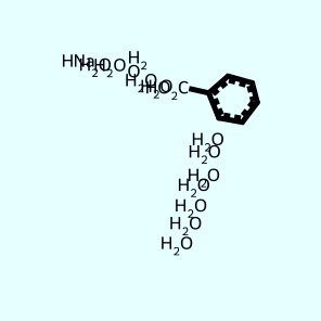 O.O.O.O.O.O.O.O.O.O.O.O.O=C(O)c1ccccc1.[NaH]